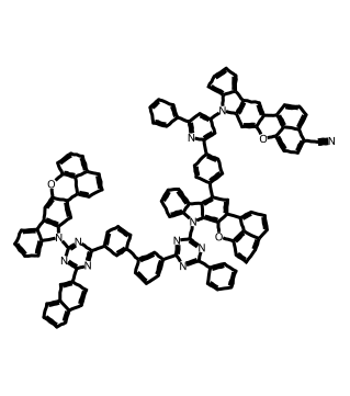 N#Cc1ccc2c3c(cccc13)-c1cc3c4ccccc4n(-c4cc(-c5ccccc5)nc(-c5ccc(-c6cc7c(c8c6c6ccccc6n8-c6nc(-c8ccccc8)nc(-c8cccc(-c9cccc(-c%10nc(-c%11ccc%12ccccc%12c%11)nc(-n%11c%12ccccc%12c%12cc%13c(cc%12%11)-c%11cccc%12cccc(c%11%12)O%13)n%10)c9)c8)n6)Oc6cccc8cccc-7c68)cc5)c4)c3cc1O2